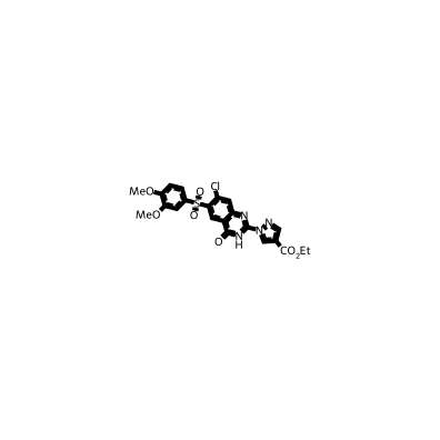 CCOC(=O)c1cnn(-c2nc3cc(Cl)c(S(=O)(=O)c4ccc(OC)c(OC)c4)cc3c(=O)[nH]2)c1